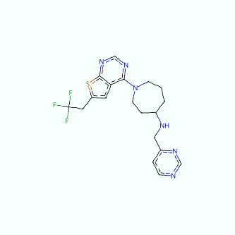 FC(F)(F)Cc1cc2c(N3CCCC(NCc4ccncn4)CC3)ncnc2s1